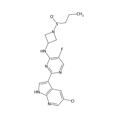 CCC[S+]([O-])N1CC(Nc2nc(-c3c[nH]c4ncc(Cl)cc34)ncc2F)C1